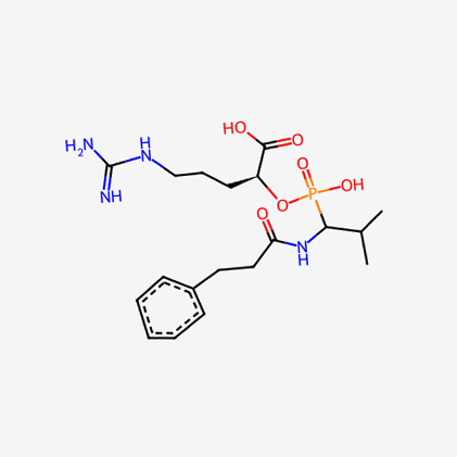 CC(C)C(NC(=O)CCc1ccccc1)P(=O)(O)O[C@@H](CCCNC(=N)N)C(=O)O